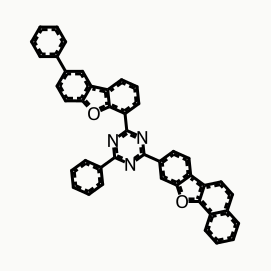 c1ccc(-c2ccc3oc4c(-c5nc(-c6ccccc6)nc(-c6ccc7c(c6)oc6c8ccccc8ccc76)n5)cccc4c3c2)cc1